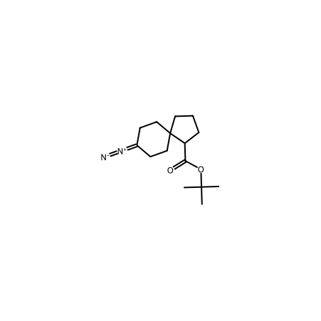 CC(C)(C)OC(=O)C1CCCC12CCC(=[N+]=[N-])CC2